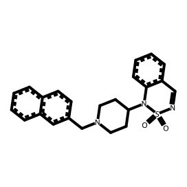 O=S1(=O)N=Cc2ccccc2N1C1CCN(Cc2ccc3ccccc3c2)CC1